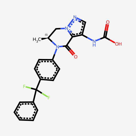 C[C@H]1Cn2ncc(NC(=O)O)c2C(=O)N1c1ccc(C(F)(F)c2ccccc2)cc1